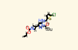 C=CCOC(=O)N1CC(c2cc(NCc3ccc(Cl)s3)n(C(=O)C(C)(C)C)n2)C1